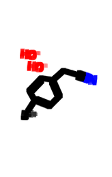 [B+2]c1ccc(CC#N)cc1.[OH-].[OH-]